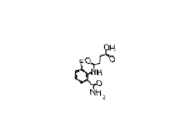 NC(=O)c1cccc(F)c1NC(=O)CCC(=O)O